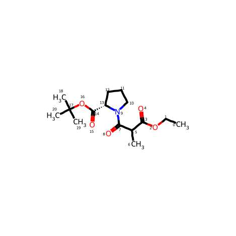 CCOC(=O)C(C)C(=O)N1CCC[C@H]1C(=O)OC(C)(C)C